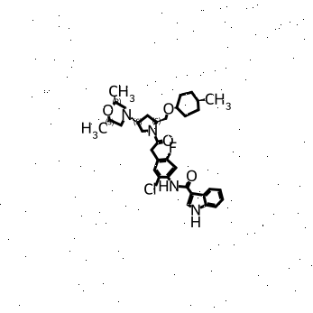 C[C@@H]1CN([C@H]2C[C@@H](CO[C@H]3CC[C@H](C)CC3)N(C(=O)Cc3cc(Cl)c(NC(=O)c4c[nH]c5ccccc45)cc3F)C2)C[C@H](C)O1